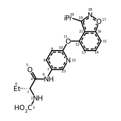 CC[C@@H](NC(=O)O)C(=O)Nc1ccc(Oc2cccc3onc(C(C)C)c23)nc1